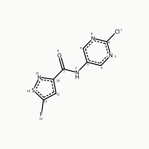 O=C(Nc1cnc(Cl)nc1)c1cc(F)sn1